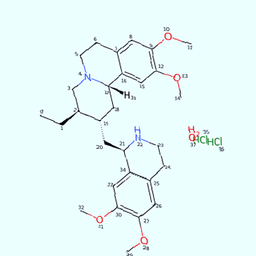 CC[C@H]1CN2CCc3cc(OC)c(OC)cc3[C@@H]2C[C@@H]1C[C@H]1NCCc2cc(OC)c(OC)cc21.Cl.Cl.O